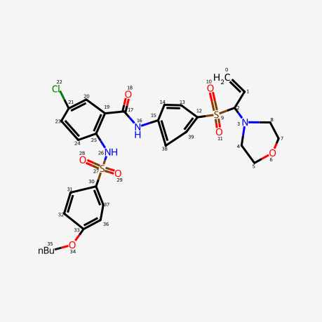 C=CC(N1CCOCC1)S(=O)(=O)c1ccc(NC(=O)c2cc(Cl)ccc2NS(=O)(=O)c2ccc(OCCCC)cc2)cc1